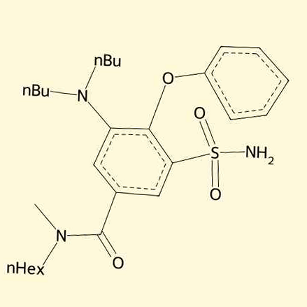 CCCCCCN(C)C(=O)c1cc(N(CCCC)CCCC)c(Oc2ccccc2)c(S(N)(=O)=O)c1